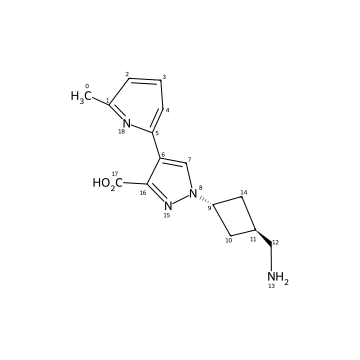 Cc1cccc(-c2cn([C@H]3C[C@H](CN)C3)nc2C(=O)O)n1